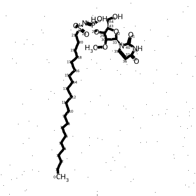 CCCCCCCCCCCCCCCCCCCCCCS(=O)(=O)/N=[PH](/O)OC1C(OC)[C@H](n2ccc(=O)[nH]c2=O)O[C@@H]1CO